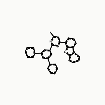 Ic1cc(-c2cccc3c2oc2ccccc23)nc(-c2cc(-c3ccccc3)cc(-c3ccccc3)c2)n1